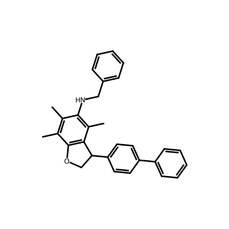 Cc1c(C)c2c(c(C)c1NCc1ccccc1)C(c1ccc(-c3ccccc3)cc1)CO2